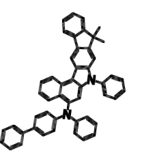 CC1(C)c2ccccc2-c2cc3c4c5ccccc5c(N(c5ccccc5)c5ccc(-c6ccccc6)cc5)cc4n(-c4ccccc4)c3cc21